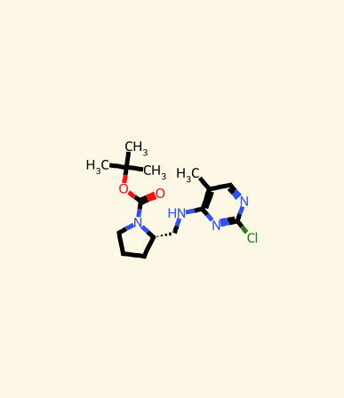 Cc1cnc(Cl)nc1NC[C@@H]1CCCN1C(=O)OC(C)(C)C